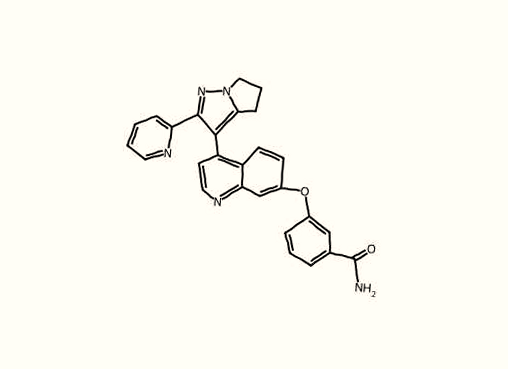 NC(=O)c1cccc(Oc2ccc3c(-c4c(-c5ccccn5)nn5c4CCC5)ccnc3c2)c1